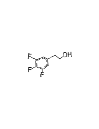 OCCc1cc(F)c(F)c(F)c1